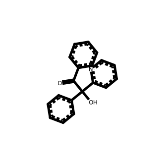 O=C(c1ccccc1)C(O)(c1ccccc1)c1ccccn1